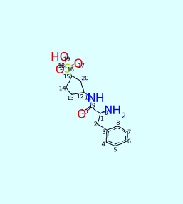 N[C@@H](Cc1ccccc1)C(=O)NC1CCC(S(=O)(=O)O)C1